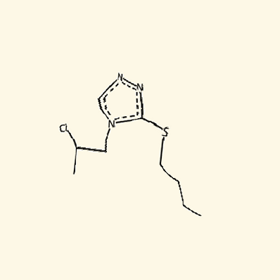 CCCCSc1nncn1CC(C)Cl